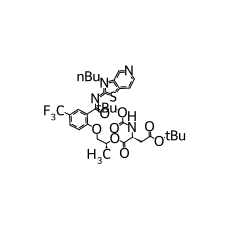 CCCCn1/c(=N/C(=O)c2cc(C(F)(F)F)ccc2OC[C@H](C)OC(=O)[C@H](CC(=O)OC(C)(C)C)NC(=O)OC(C)(C)C)sc2ccncc21